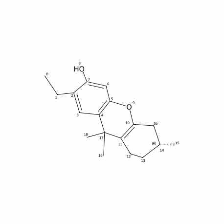 CCc1cc2c(cc1O)OC1=C(CC[C@@H](C)C1)C2(C)C